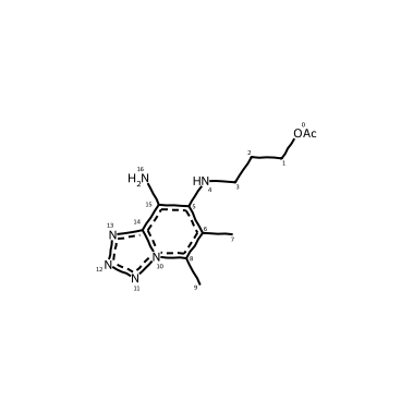 CC(=O)OCCCNc1c(C)c(C)n2nnnc2c1N